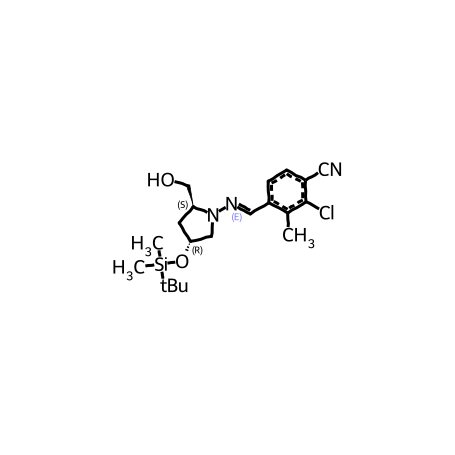 Cc1c(/C=N/N2C[C@H](O[Si](C)(C)C(C)(C)C)C[C@H]2CO)ccc(C#N)c1Cl